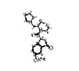 COc1ccc2c(c1)C(=O)CC2C(=O)N1CCSCC1CN1CCCC1